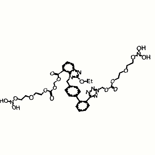 CCOc1nc2cccc(C(=O)OCOC(=O)OCCOCCON(O)O)c2n1Cc1ccc(-c2ccccc2-c2nnn(COC(=O)OCCOCCON(O)O)n2)cc1